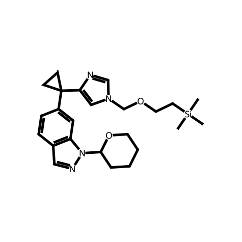 C[Si](C)(C)CCOCn1cnc(C2(c3ccc4cnn(C5CCCCO5)c4c3)[CH]C2)c1